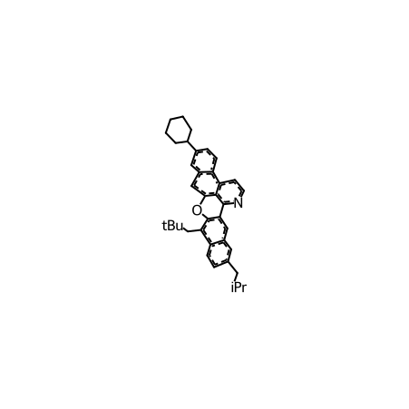 CC(C)Cc1ccc2c(CC(C)(C)C)c3c(cc2c1)-c1nccc2c1c(cc1cc(C4CCCCC4)ccc12)O3